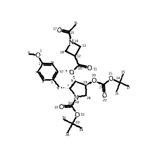 COc1ccc(C[C@@H]2[C@H](OC(=O)C3CN(C(C)=O)C3)[C@@H](OC(=O)OC(C)(C)C)CN2C(=O)OC(C)(C)C)cc1